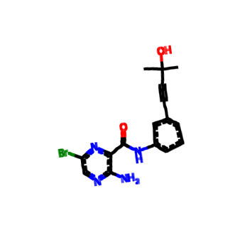 CC(C)(O)C#Cc1cccc(NC(=O)c2nc(Br)cnc2N)c1